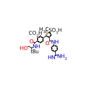 CC(C)(C)C(CO)NC(=O)c1ccc(-c2sccc2C(=O)Nc2ccc(C(=N)N)cc2)c(C(=O)O)c1.CS(=O)(=O)O